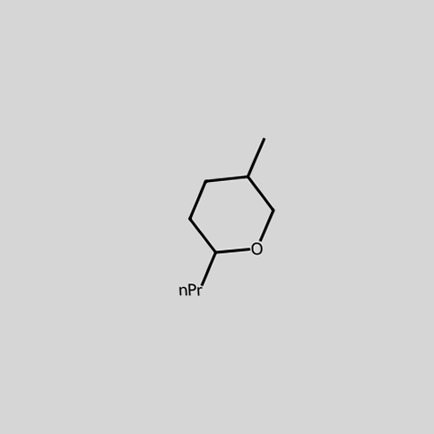 CCCC1CCC(C)CO1